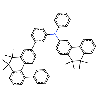 CC1(C)c2ccccc2-c2cc(N(c3ccccc3)c3cccc(-c4ccc5c(c4)C(C)(C)C(C)(C)c4cccc(-c6ccccc6)c4-5)c3)ccc2C1(C)C